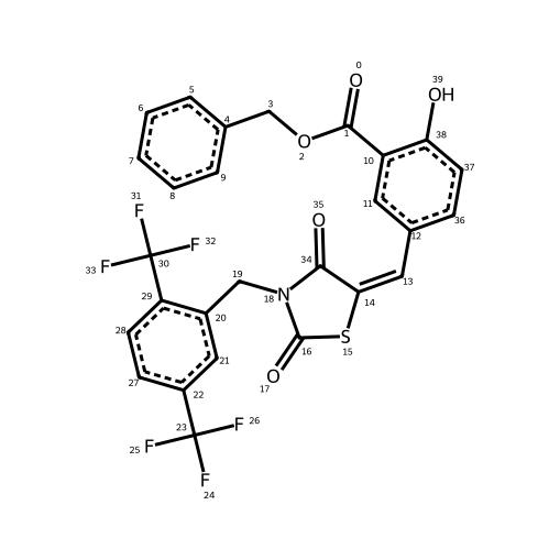 O=C(OCc1ccccc1)c1cc(C=C2SC(=O)N(Cc3cc(C(F)(F)F)ccc3C(F)(F)F)C2=O)ccc1O